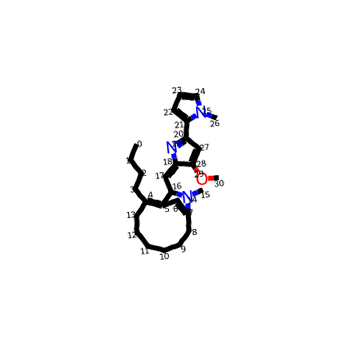 CCCC/C1=C2\C=C(CCCCCC1)N(C)C2/C=C1/N=C(c2cccn2C)C=C1OC